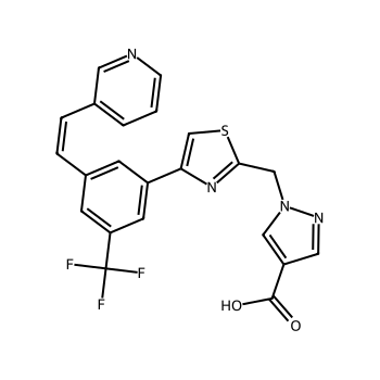 O=C(O)c1cnn(Cc2nc(-c3cc(/C=C\c4cccnc4)cc(C(F)(F)F)c3)cs2)c1